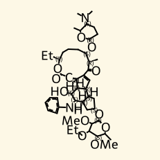 CCOC1C(OC)[C@H](O[C@@H]2C[C@@H]3[C@@H](C2)[C@@H]2C=C4C(=O)[C@H](C)[C@@H](O[C@H]5CC[C@H](N(C)C)C(C)O5)CCC[C@H](CC)OC(=O)C[C@H]4[C@@H]2[C@H](O)[C@H]3Nc2ccccc2)OC(C)[C@@H]1OC